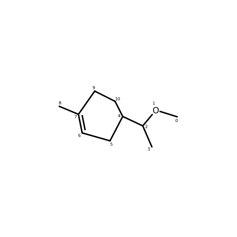 COC(C)C1CC=C(C)CC1